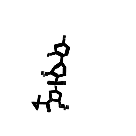 CC1(C(=O)N2C[C@H](S(=O)(=O)c3ccc(-c4ccc(F)cc4F)cc3C(F)(F)F)C[C@H]2C(=O)O)CC1